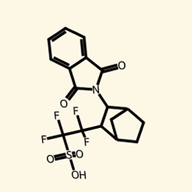 O=C1c2ccccc2C(=O)N1C1C2CCC(C2)C1C(F)(F)C(F)(F)S(=O)(=O)O